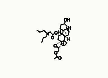 CCCN(CCC)CC(=O)O[C@H]1C[C@]2(C)[C@@H](C(=O)COC(C)=O)CC[C@H]2[C@@H]2CC[C@H]3C[C@H](O)CC[C@]3(C)[C@H]21